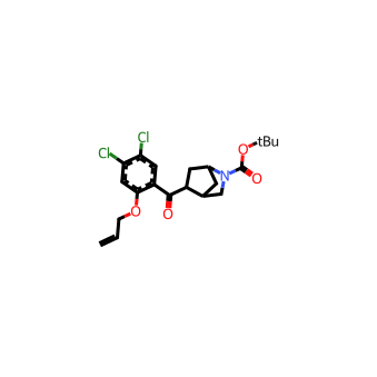 C=CCOc1cc(Cl)c(Cl)cc1C(=O)C1CC2CC1CN2C(=O)OC(C)(C)C